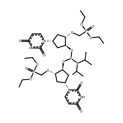 CCOP(=O)(CO[C@H]1C[C@@H](n2ccc(=O)[nH]c2=O)C[C@@H]1OP(O[C@H]1C[C@H](n2ccc(=O)[nH]c2=O)C[C@@H]1OCP(=O)(OCC)OCC)N(C(C)C)C(C)C)OCC